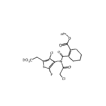 CCCOC(=O)C1=C(C(=O)N(C(=O)CCl)c2c(F)sc(CC(=O)OCC)c2Cl)CCCC1